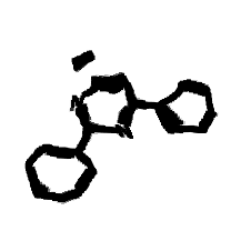 C=C.c1ccc(-c2ccnc(-c3ccccc3)n2)cc1